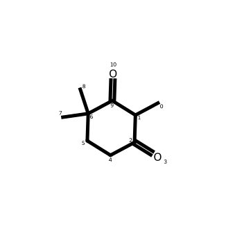 CC1C(=O)CCC(C)(C)C1=O